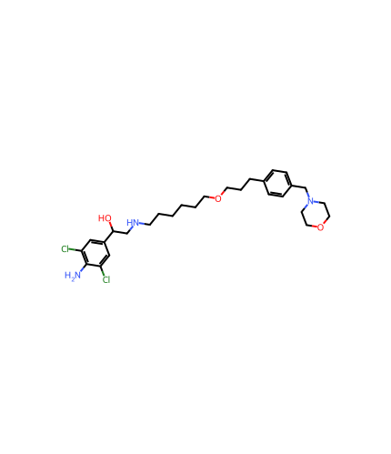 Nc1c(Cl)cc(C(O)CNCCCCCCOCCCc2ccc(CN3CCOCC3)cc2)cc1Cl